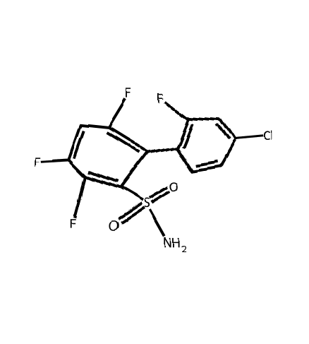 NS(=O)(=O)c1c(F)c(F)cc(F)c1-c1ccc(Cl)cc1F